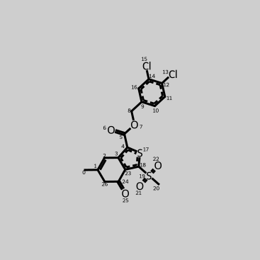 CC1=Cc2c(C(=O)OCc3ccc(Cl)c(Cl)c3)sc(S(C)(=O)=O)c2C(=O)C1